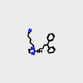 N#CCCCCn1ccnc1BCCCC(c1ccccc1)c1ccccc1